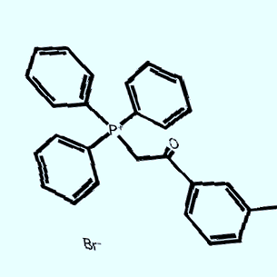 O=C(C[P+](c1ccccc1)(c1ccccc1)c1ccccc1)c1cccc(Cl)c1.[Br-]